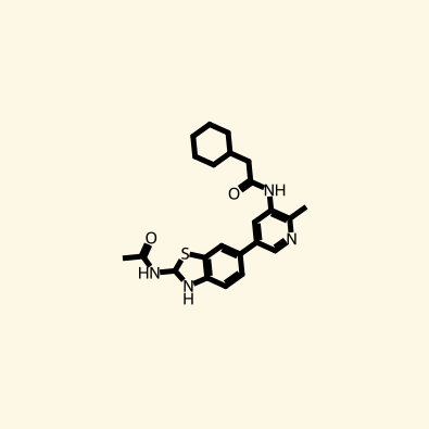 CC(=O)NC1Nc2ccc(-c3cnc(C)c(NC(=O)CC4CCCCC4)c3)cc2S1